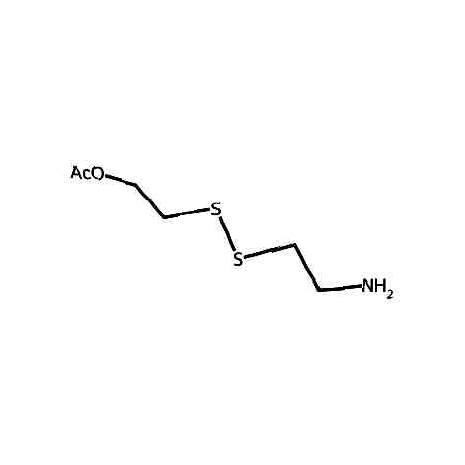 CC(=O)OCCSSCCN